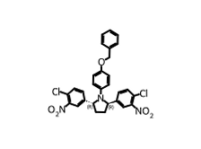 O=[N+]([O-])c1cc([C@H]2CC[C@H](c3ccc(Cl)c([N+](=O)[O-])c3)N2c2ccc(OCc3ccccc3)cc2)ccc1Cl